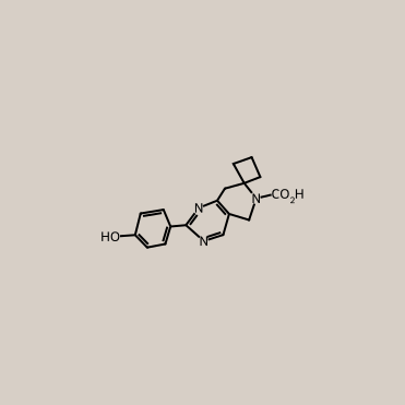 O=C(O)N1Cc2cnc(-c3ccc(O)cc3)nc2CC12CCC2